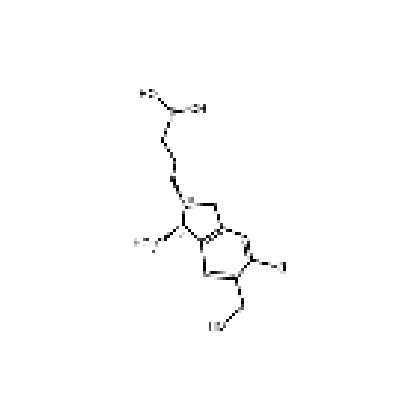 O=C(O)[C@@H]1c2cc(CO)c(Cl)cc2C[C@@H]1CCCB(O)O